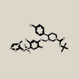 Cn1cns/c1=N/S(=O)(=O)c1cc(F)c(OC[C@@H]2CN(C(=O)OC(C)(C)C)CCC2c2ccc(Cl)cc2)cc1F